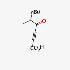 CCCCC(C)C(=O)C#CC(=O)O